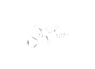 CNC(=O)C1CC(=O)N(c2ccccc2)C1=O